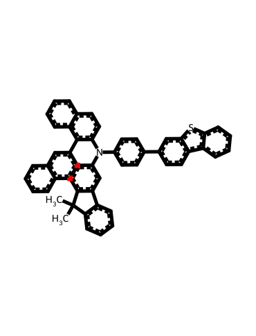 CC1(C)c2ccccc2-c2cc(N(c3ccc(-c4ccc5c(c4)sc4ccccc45)cc3)c3ccc4ccccc4c3-c3ccc4ccccc4c3)ccc21